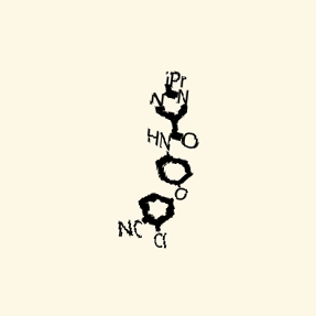 CC(C)c1ncc(C(=O)N[C@H]2CC[C@@H](Oc3ccc(C#N)c(Cl)c3)CC2)cn1